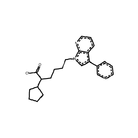 O=C(Cl)C(CCCCn1cc(-c2ccccc2)c2cccnc21)C1CCCC1